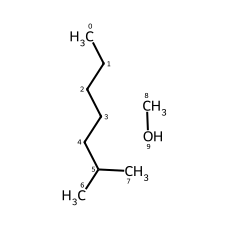 CCCCCC(C)C.CO